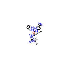 CCC[C@@H](CCCNc1ncc(C#N)c(NC(C2CC2)C2CC2)n1)N(C(=O)NCc1ccccc1)c1ccc(-c2cnn(C)c2)cn1